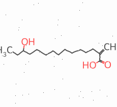 C=C(CCCCCCCCCCC(O)CC)C(=O)O